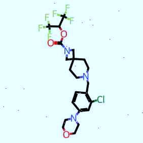 O=C(OC(C(F)(F)F)C(F)(F)F)N1CC2(CCN(Cc3ccc(N4CCOCC4)cc3Cl)CC2)C1